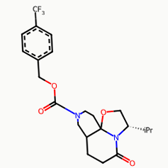 CC(C)[C@H]1COC23CCN(C(=O)OCc4ccc(C(F)(F)F)cc4)CC2CCC(=O)N13